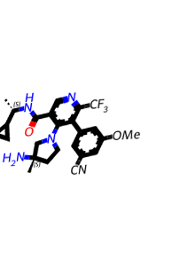 COc1cc(C#N)cc(-c2c(C(F)(F)F)ncc(C(=O)N[C@@H](C)C3CC3)c2N2CC[C@](C)(N)C2)c1